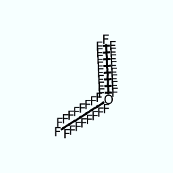 FC(F)(F)C(F)(F)C(F)(F)C(F)(F)C(F)(F)C(F)(F)C(F)(F)C(F)(F)OC(F)(F)C(F)(F)C(F)(F)C(F)(F)C(F)(F)C(F)(F)C(F)(F)C(F)(F)F